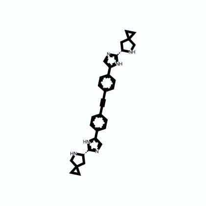 C(#Cc1ccc(-c2cnc([C@@H]3CC4(CC4)CN3)[nH]2)cc1)c1ccc(-c2cnc([C@@H]3CC4(CC4)CN3)[nH]2)cc1